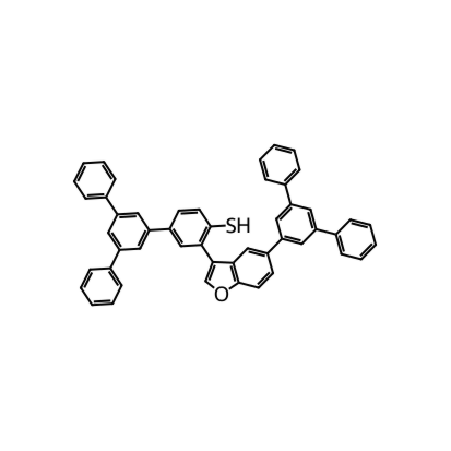 Sc1ccc(-c2cc(-c3ccccc3)cc(-c3ccccc3)c2)cc1-c1coc2ccc(-c3cc(-c4ccccc4)cc(-c4ccccc4)c3)cc12